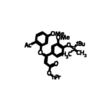 CCCOC(=O)/C=C(/Oc1cc(OC)ccc1C(C)=O)c1ccc(O[Si](C)(C)C(C)(C)C)c(OC)c1